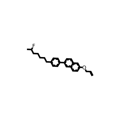 C=CCOc1ccc2cc(-c3ccc(CCCCCC(C)F)cc3)ccc2c1